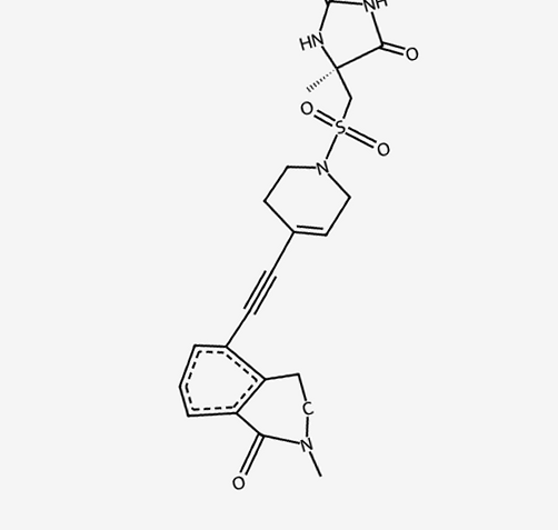 CN1CCc2c(C#CC3=CCN(S(=O)(=O)C[C@@]4(C)NC(=O)NC4=O)CC3)cccc2C1=O